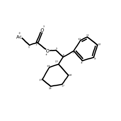 CC(=O)CC(=O)OCC(c1ccccc1)C1CCCCC1